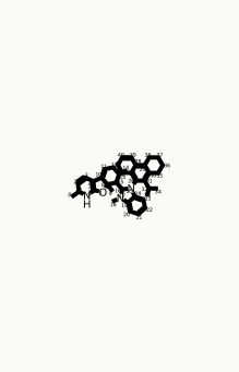 CC1C#CC2=C(N1)OC1(C)C2=CCC(C)C1C1N(C)c2ccccc2N1c1c2c(c3c(c1C(C)C)CCCC3)C=CCC2